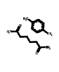 Cc1ccc(C)cc1.NC(=O)CCCCC(N)=O